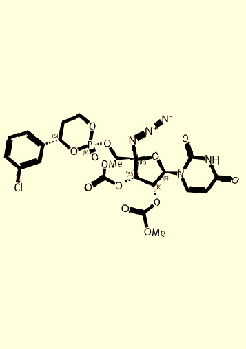 COC(=O)O[C@H]1[C@H](n2ccc(=O)[nH]c2=O)O[C@@](CO[P@@]2(=O)OCC[C@@H](c3cccc(Cl)c3)O2)(N=[N+]=[N-])[C@H]1OC(=O)OC